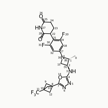 C[C@@H]1[C@@H](Nc2nnc(C34CC(C(F)(F)F)(C3)C4)o2)CN1c1cc(F)c(C2CCC(=O)NC2=O)c(F)c1